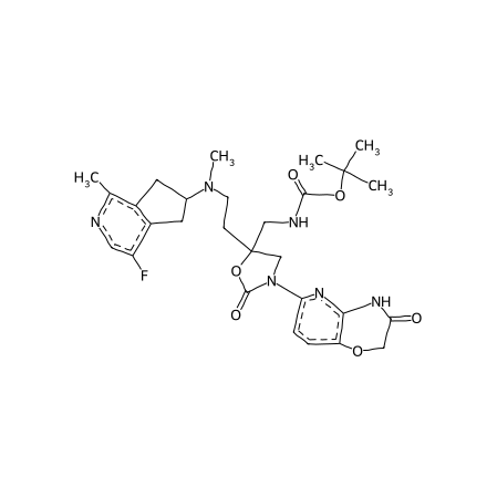 Cc1ncc(F)c2c1CC(N(C)CCC1(CNC(=O)OC(C)(C)C)CN(c3ccc4c(n3)NC(=O)CO4)C(=O)O1)C2